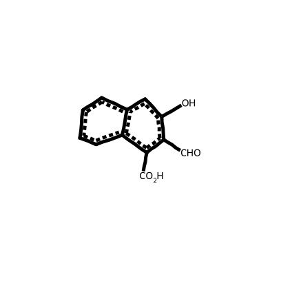 O=Cc1c(O)cc2ccccc2c1C(=O)O